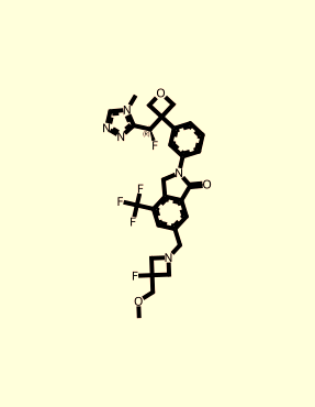 COCC1(F)CN(Cc2cc3c(c(C(F)(F)F)c2)CN(c2cccc(C4([C@@H](F)c5nncn5C)COC4)c2)C3=O)C1